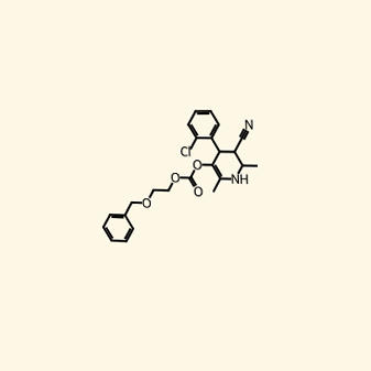 CC1=C(OC(=O)OCCOCc2ccccc2)C(c2ccccc2Cl)C(C#N)C(C)N1